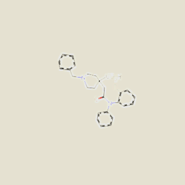 O=C(CC1(C(=O)O)CCN(Cc2ccccc2)CC1)N(c1ccccc1)c1ccccc1F